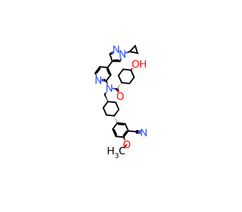 COc1ccc([C@H]2CC[C@H](CN(c3cc(-c4cnn(C5CC5)c4)ccn3)C(=O)[C@H]3CC[C@H](O)CC3)CC2)cc1C#N